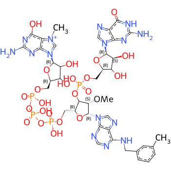 CO[C@H]1C(OP(=O)(O)OC[C@H]2O[C@@H](n3cnc4c(=O)[nH]c(N)nc43)[C@@H](O)C2O)[C@@H](COP(=O)(O)OP(=O)(O)OP(=O)(O)OC[C@H]2O[C@@H](n3c[n+](C)c4c(O)nc(N)nc43)C(O)C2O)O[C@H]1n1cnc2c(NCc3cccc(C)c3)ncnc21